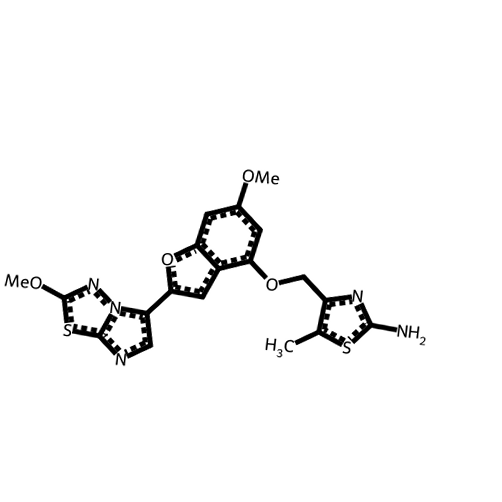 COc1cc(OCc2nc(N)sc2C)c2cc(-c3cnc4sc(OC)nn34)oc2c1